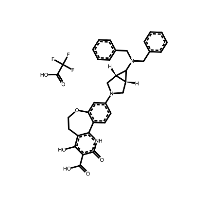 O=C(O)C(F)(F)F.O=C(O)c1c(O)c2c([nH]c1=O)-c1ccc(N3C[C@@H]4C(N(Cc5ccccc5)Cc5ccccc5)[C@@H]4C3)cc1OCC2